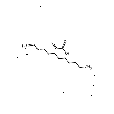 C=CCCCCCCCCCC.O=C(O)C=S